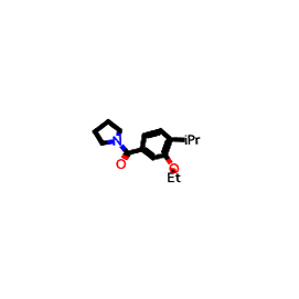 CCOc1cc(C(=O)N2CCCC2)ccc1C(C)C